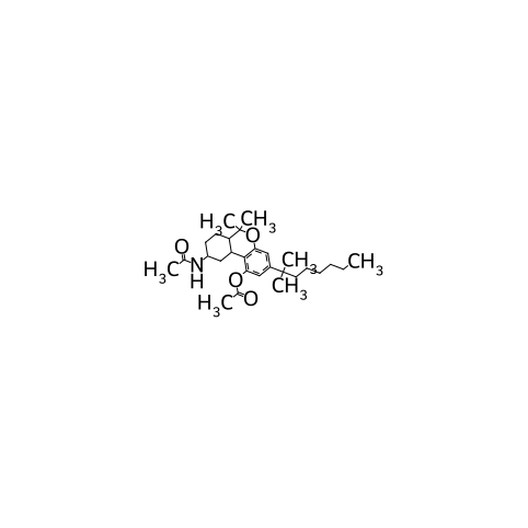 CCCCCCC(C)(C)c1cc(OC(C)=O)c2c(c1)OC(C)(C)C1CCC(NC(C)=O)CC21